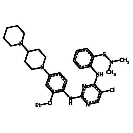 CCOc1cc(N2CCC(N3CCCCC3)CC2)ccc1Nc1ncc(Cl)c(Nc2ccccc2SN(C)C)n1